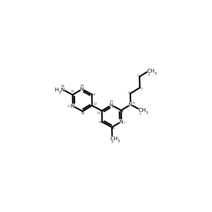 CCCCN(C)c1nc(C)cc(-c2cnc(N)nc2)n1